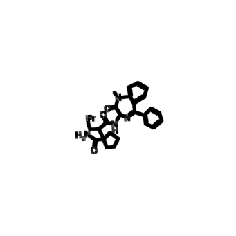 CC(C)CC(C(=O)NC1N=C(c2ccccc2)c2ccccc2N(C)C1=O)C1(C(N)=O)CCCC1